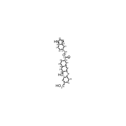 O=C(O)c1ccc(Cc2cc3cc(C(=O)OCc4ccc5[nH]cnc5c4)ccc3cc2O)cc1